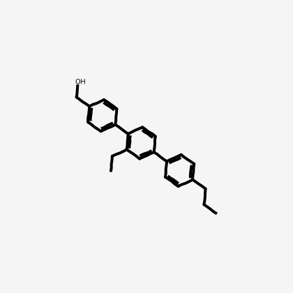 CCCc1ccc(-c2ccc(-c3ccc(CO)cc3)c(CC)c2)cc1